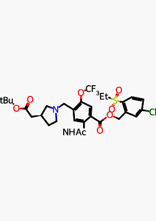 CCS(=O)(=O)c1ccc(Cl)cc1COC(=O)c1cc(OC(F)(F)F)c(CN2CC[C@@H](CC(=O)OC(C)(C)C)C2)cc1NC(C)=O